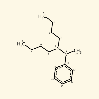 CCCCN(CCCC)N(C)c1ccccc1